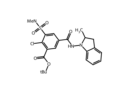 [CH2]NS(=O)(=O)c1cc(C(=O)NN2c3ccccc3CC2C)cc(C(=O)OC(C)(C)C)c1Cl